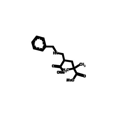 COC(=O)C(CNCc1ccccc1)CC(C)(C)C(=O)OC